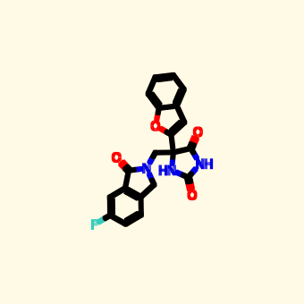 O=C1NC(=O)C(CN2Cc3ccc(F)cc3C2=O)(c2cc3ccccc3o2)N1